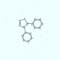 C1=CN(c2ccccc2)N(c2ccccc2)C1